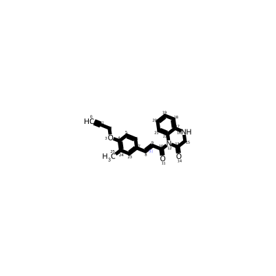 C#CCOc1ccc(/C=C/C(=O)N2C(=O)CNc3ccccc32)cc1C